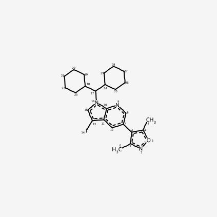 Cc1noc(C)c1-c1cnc2c(c1)c(I)cn2C(C1CCCCC1)C1CCCCC1